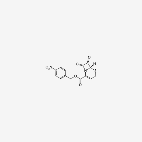 O=C(OCc1ccc([N+](=O)[O-])cc1)C1=CCS[C@H]2C(=O)C(=O)N12